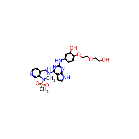 CN(c1cnccc1CNc1nc(Nc2ccc(OCCOCCO)c(O)c2)nc2[nH]ccc12)S(C)(=O)=O